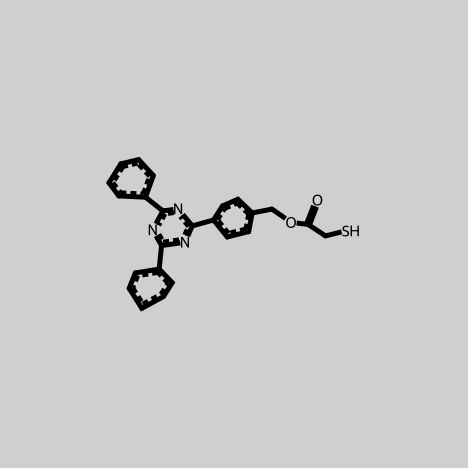 O=C(CS)OCc1ccc(-c2nc(-c3ccccc3)nc(-c3ccccc3)n2)cc1